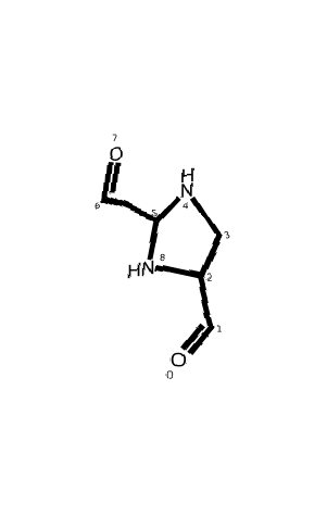 O=CC1CNC(C=O)N1